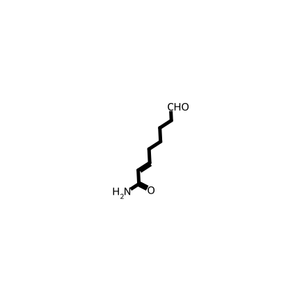 NC(=O)C=CCCCCC=O